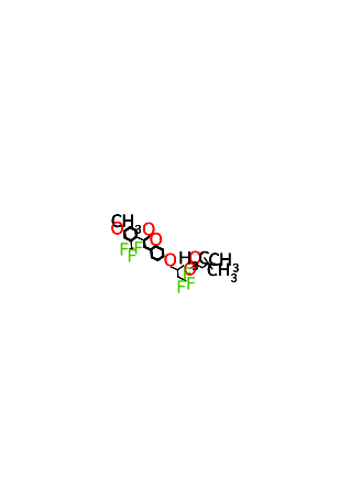 COc1ccc(-c2cc3ccc(OCC(COC(=O)CC(C)(C)C)CC(F)(F)F)cc3oc2=O)c(C(F)(F)F)c1